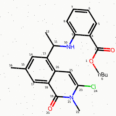 CCCCOC(=O)c1ccccc1NC(C)c1cc(C)cc2c(=O)n(C)c(Cl)cc12